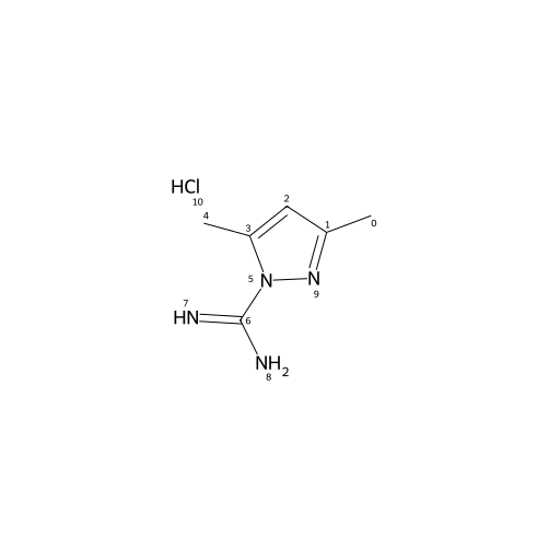 Cc1cc(C)n(C(=N)N)n1.Cl